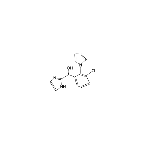 OC(c1ncc[nH]1)c1cccc(Cl)c1-n1cccn1